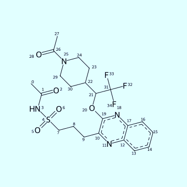 CC(=O)NS(=O)(=O)CCCc1nc2ccccc2nc1OC(C1CCN(C(C)=O)CC1)C(F)(F)F